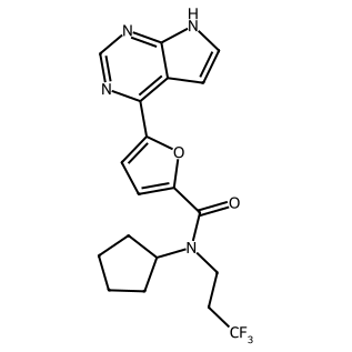 O=C(c1ccc(-c2ncnc3[nH]ccc23)o1)N(CCC(F)(F)F)C1CCCC1